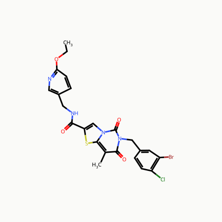 CCOc1ccc(CNC(=O)c2cn3c(=O)n(Cc4ccc(Cl)c(Br)c4)c(=O)c(C)c3s2)cn1